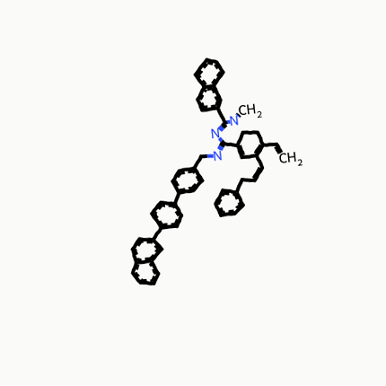 C=CC1=C(/C=C\Cc2ccccc2)C=C(C(=N/Cc2ccc(-c3ccc(-c4ccc5ccccc5c4)cc3)cc2)/N=C(\N=C)c2ccc3ccccc3c2)CC1